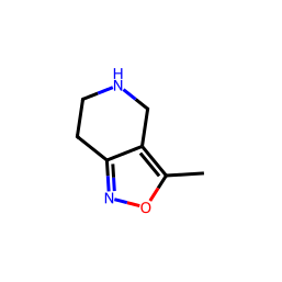 Cc1onc2c1CNCC2